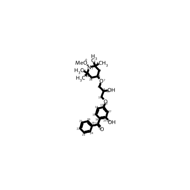 CON1C(C)(C)CC(OCC(O)COc2ccc(C(=O)c3ccccc3)c(O)c2)CC1(C)C